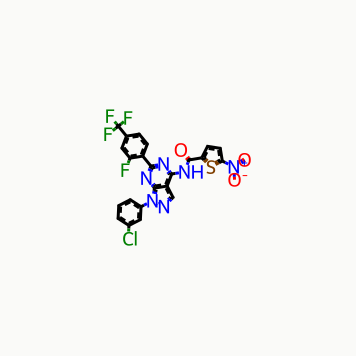 O=C(Nc1nc(-c2ccc(C(F)(F)F)cc2F)nc2c1cnn2-c1cccc(Cl)c1)c1ccc([N+](=O)[O-])s1